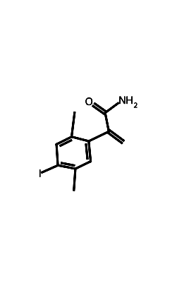 C=C(C(N)=O)c1cc(C)c(I)cc1C